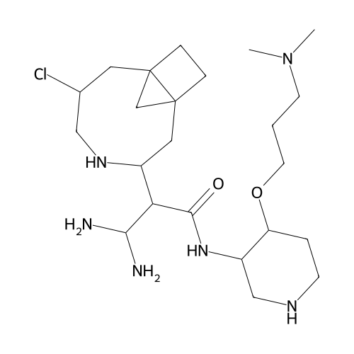 CN(C)CCCOC1CCNCC1NC(=O)C(C(N)N)C1CC23CCC2(CC(Cl)CN1)C3